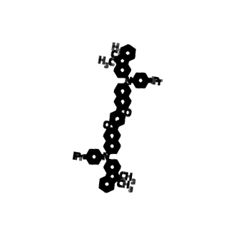 CC(C)c1ccc(N(c2ccc3c(c2)-c2ccccc2C3(C)C)c2ccc3cc4c(cc3c2)oc2cc3c(cc24)oc2cc4cc(N(c5ccc(C(C)C)cc5)c5ccc6c(c5)-c5ccccc5C6(C)C)ccc4cc23)cc1